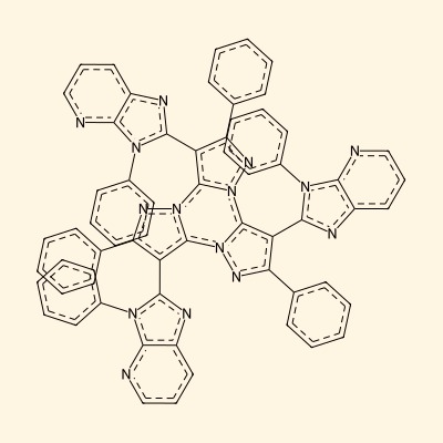 c1ccc(-c2nn3c(c2-c2nc4cccnc4n2-c2ccccc2)n2nc(-c4ccccc4)c(-c4nc5cccnc5n4-c4ccccc4)c2n2nc(-c4ccccc4)c(-c4nc5cccnc5n4-c4ccccc4)c32)cc1